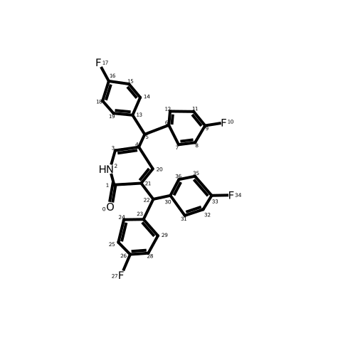 O=c1[nH]cc(C(c2ccc(F)cc2)c2ccc(F)cc2)cc1C(c1ccc(F)cc1)c1ccc(F)cc1